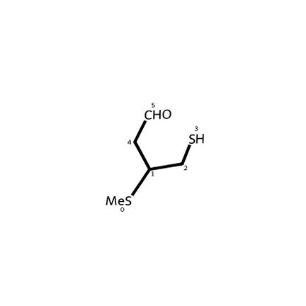 CSC(CS)CC=O